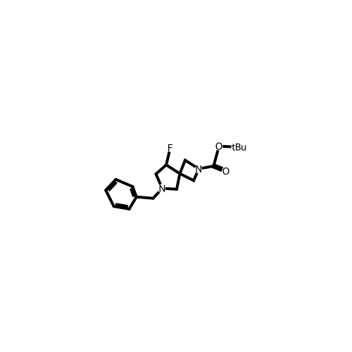 CC(C)(C)OC(=O)N1CC2(CN(Cc3ccccc3)CC2F)C1